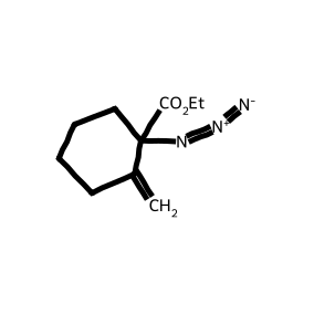 C=C1CCCCC1(N=[N+]=[N-])C(=O)OCC